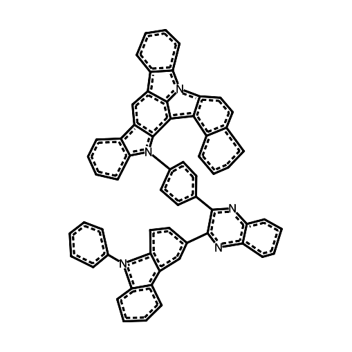 c1ccc(-n2c3ccccc3c3cc(-c4nc5ccccc5nc4-c4ccc(-n5c6ccccc6c6cc7c8ccccc8n8c9ccc%10ccccc%10c9c(c65)c78)cc4)ccc32)cc1